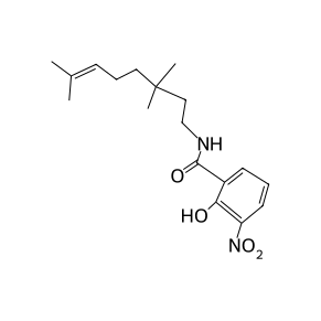 CC(C)=CCCC(C)(C)CCNC(=O)c1cccc([N+](=O)[O-])c1O